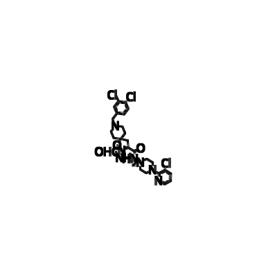 NC=O.O=C(NN1CCN(c2ncccc2Cl)CC1)C1=NOC2(CCN(Cc3ccc(Cl)c(Cl)c3)CC2)C1